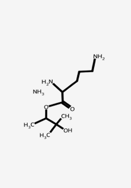 CC(OC(=O)C(N)CCCN)C(C)(C)O.N